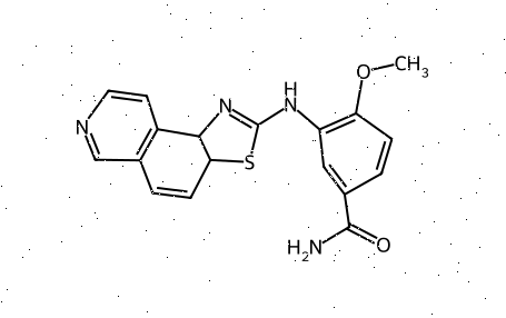 COc1ccc(C(N)=O)cc1NC1=NC2c3ccncc3C=CC2S1